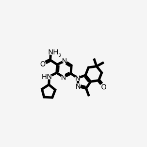 Cc1nn(-c2cnc(C(N)=O)c(NC3CCCC3)n2)c2c1C(=O)CC(C)(C)C2